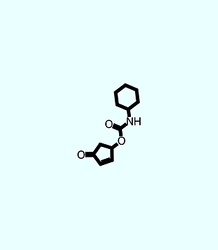 O=C1C=CC(OC(=O)NC2CCCCC2)C1